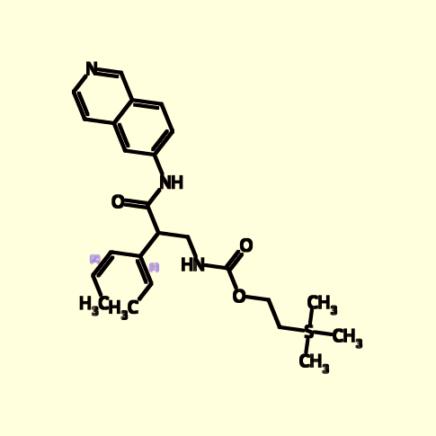 C/C=C\C(=C/C)C(CNC(=O)OCCS(C)(C)C)C(=O)Nc1ccc2cnccc2c1